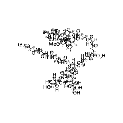 CC[C@H](C)[C@@H]([C@@H](CC(=O)N1CCC[C@H]1[C@H](OC)[C@@H](C)C(=O)N[C@@H](Cc1ccccc1)C(=O)NCCCOC(=O)C(C)NC(=O)CCC(NC(=O)CCNC(=O)OCC(NC(=O)CNC(=O)CNC(=O)CNC(=O)CNC(=O)CCNC(=O)CCOCC(C)(C)C)C(=O)NC(CCC(=O)NC[C@H](O)[C@@H](O)[C@H](O)[C@H](O)CO)C(=O)NC[C@H](O)[C@@H](O)[C@H](O)[C@H](O)CO)C(=O)O)OC)N(C)C(=O)[C@@H](NC(=O)[C@H](C(C)C)N(C)C)C(C)C